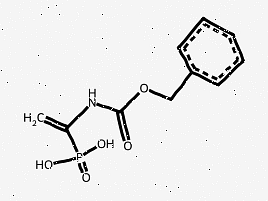 C=C(NC(=O)OCc1ccccc1)P(=O)(O)O